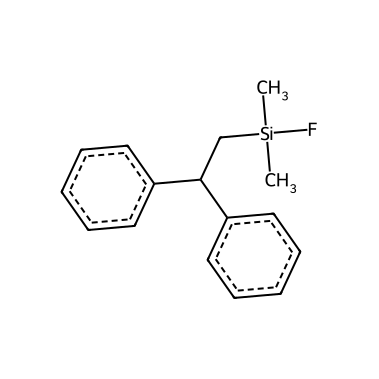 C[Si](C)(F)CC(c1ccccc1)c1ccccc1